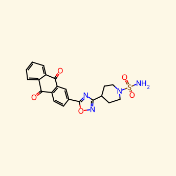 NS(=O)(=O)N1CCC(c2noc(-c3ccc4c(c3)C(=O)c3ccccc3C4=O)n2)CC1